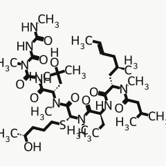 C/C=C/C[C@@H](C)C[C@@H](C(=O)N[C@@H](CC)C(=O)N(C)[C@H](SCCC[C@@H](C)O)C(=O)N(C)[C@@H](CC(C)(C)O)C(=O)NC(=O)N(C)C(=O)NC(=O)NC)N(C)C(=O)CC(C)C